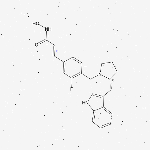 O=C(/C=C/c1ccc(CN2CCC[C@@H]2Cc2c[nH]c3ccccc23)c(F)c1)NO